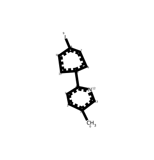 Cc1ccc(-c2ccc(I)cc2)nc1